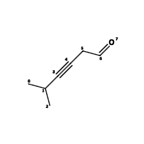 CC(C)C#CCC=O